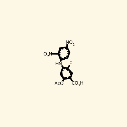 CC(=O)Oc1cc(Nc2ccc([N+](=O)[O-])cc2[N+](=O)[O-])c(F)cc1C(=O)O